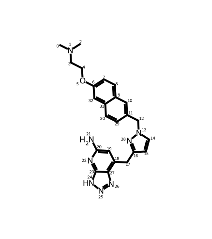 CN(C)CCOc1ccc2cc(Cn3ccc(Cc4cc(N)nc5[nH]nnc45)n3)ccc2c1